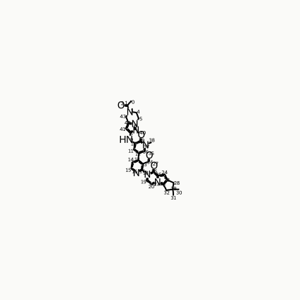 CC(=O)N1CCn2nc(Nc3cc(-c4ccnc(-n5ccn6c7c(cc6c5=O)CC(C)(C)C7)c4C=O)cn(C)c3=O)cc2C1